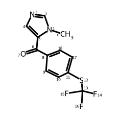 Cn1cncc1C(=O)c1ccc(SC(F)(F)F)cc1